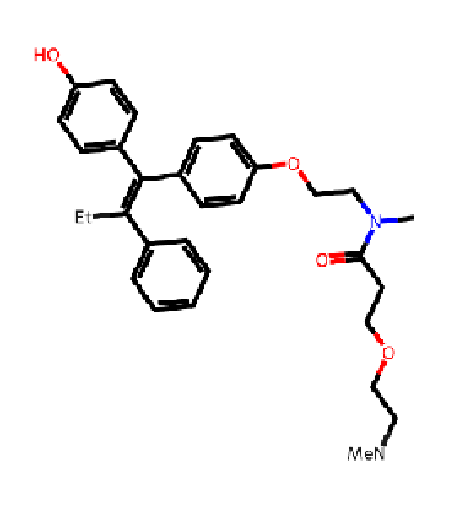 CC/C(=C(\c1ccc(O)cc1)c1ccc(OCCN(C)C(=O)CCOCCNC)cc1)c1ccccc1